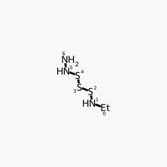 CCNSSSNN